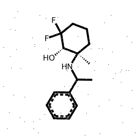 CC(N[C@]1(C)CCCC(F)(F)[C@H]1O)c1ccccc1